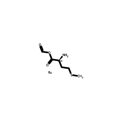 CSCC[C@H](N)C(=O)OC=O.[Ru]